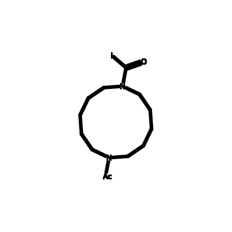 CC(=O)N1CCCCCN(C(=O)I)CCCCC1